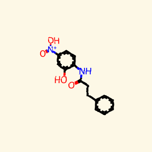 O=C(CCc1ccccc1)Nc1ccc([N+](=O)O)cc1O